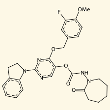 COc1ccc(COc2nc(N3CCc4ccccc43)ncc2OC(=O)NN2CCCCCC2=O)cc1F